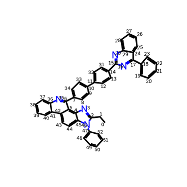 CCc1nc2c3c(-c4ccc(-c5ccc(-c6nc(-c7ccccc7)c7ccccc7n6)cc5)cc4)nc4ccccc4c3ccc2n1-c1ccccc1